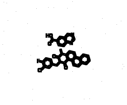 CC1C(=O)C(Cc2ccc(F)c(Cl)c2)C(=O)c2c1ccc1c2ccc2ccccc21.O=C(O)c1ccc2ncncc2c1